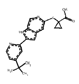 CC(C)(C)c1ccnc(-c2cc3cc(SC4(C(=O)O)CC4)ncc3[nH]2)c1